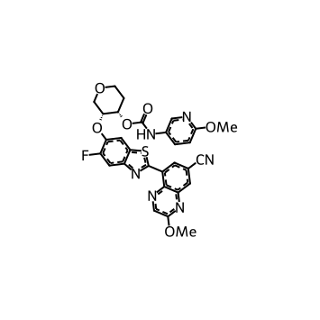 COc1ccc(NC(=O)O[C@H]2CCOC[C@H]2Oc2cc3sc(-c4cc(C#N)cc5nc(OC)cnc45)nc3cc2F)cn1